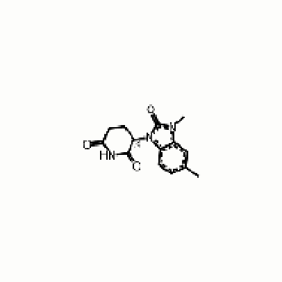 Cc1ccc2c(c1)n(C)c(=O)n2[C@@H]1CCC(=O)NC1=O